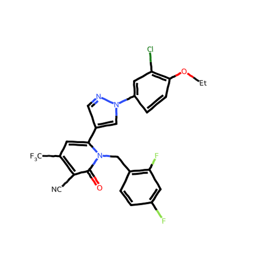 CCOc1ccc(-n2cc(-c3cc(C(F)(F)F)c(C#N)c(=O)n3Cc3ccc(F)cc3F)cn2)cc1Cl